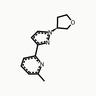 Cc1cccc(-c2ccn([C@H]3CCOC3)n2)n1